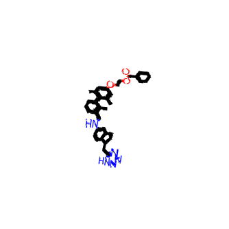 Cc1cc(OCCOC(=O)c2ccccc2)cc(C)c1-c1cccc(CNc2ccc3c(c2)CCC3Cc2nnn[nH]2)c1C